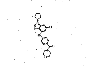 O=C(c1ccc(Nc2cc(Cl)cc3c2ncn3C2CCCC2)cc1)N1CCOCC1